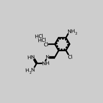 Cl.Cl.N=C(N)N/N=C/c1c(Cl)cc(N)cc1Cl